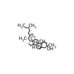 CC[C@@H](C)CCC[C@@H](C)[C@H]1CC[C@H]2[C@@H]3CC=C4C[C@@](C)(O)CC[C@]4(C)[C@H]3CC[C@]12C